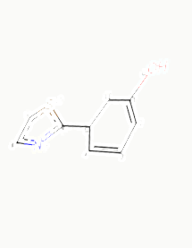 OC1=CC=CC(c2nccs2)C1